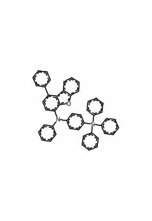 c1ccc(-c2ccc(N(c3ccccc3)c3ccc([Si](c4ccccc4)(c4ccccc4)c4ccccc4)cc3)c3oc4ccccc4c23)cc1